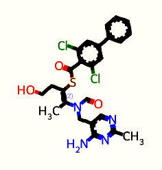 C/C(=C(\CCO)SC(=O)c1c(Cl)cc(-c2ccccc2)cc1Cl)N(C=O)Cc1cnc(C)nc1N